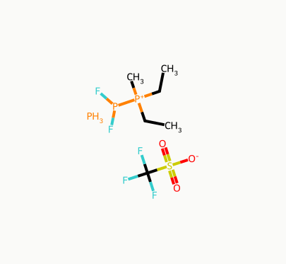 CC[P+](C)(CC)P(F)F.O=S(=O)([O-])C(F)(F)F.P